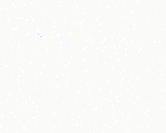 C#Cc1cccc(-c2cnsn2)c1